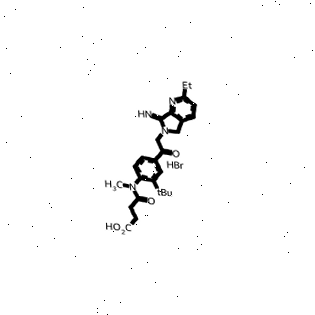 Br.CCc1ccc2c(n1)C(=N)N(CC(=O)c1ccc(N(C)C(=O)CCC(=O)O)c(C(C)(C)C)c1)C2